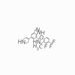 C[C@@H](NC(=O)c1cc(C2=CCNCC2)cc2cn[nH]c12)c1cccc(C(F)F)c1F